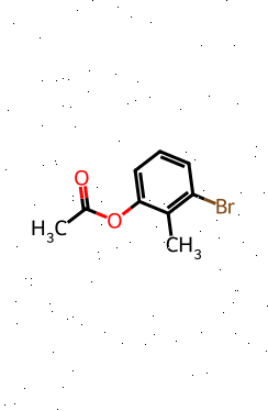 CC(=O)Oc1cccc(Br)c1C